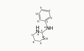 c1ccc(NC2NCCCS2)cc1